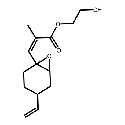 C=CC1CCC2(C=C(C)C(=O)OCCO)OC2C1